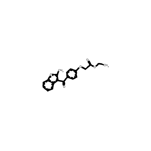 CCOC(=O)COc1ccc(C(=O)c2c(C)oc3ccccc23)cc1